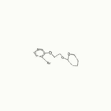 Brc1ccccc1OCCOC1CCCCO1